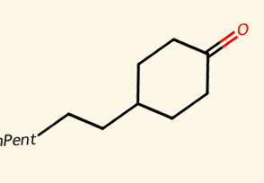 CCCCCCCC1CCC(=O)CC1